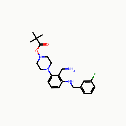 CC(C)(C)C(=O)ON1CCN(c2cccc(NCc3cccc(F)c3)c2CN)CC1